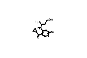 C[C@@H](CCO)Nc1cc(Cl)ncc1C(=O)C1CC1